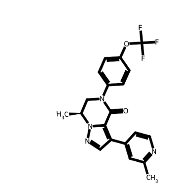 Cc1cc(-c2cnn3c2C(=O)N(c2ccc(OC(F)(F)F)cc2)C[C@@H]3C)ccn1